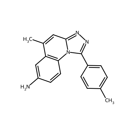 Cc1ccc(-c2nnc3cc(C)c4cc(N)ccc4n23)cc1